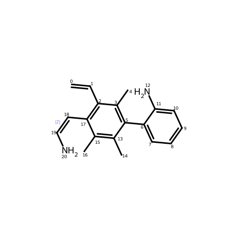 C=Cc1c(C)c(-c2ccccc2N)c(C)c(C)c1/C=C\N